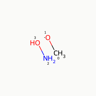 C[O].NO